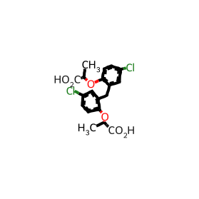 CC(Oc1ccc(Cl)cc1Cc1cc(Cl)ccc1OC(C)C(=O)O)C(=O)O